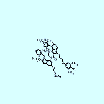 COCCOc1cc(N2C[C@@H](C)n3c(c(CCCOc4cc(C)c(Cl)c(C)c4)c4ccc(Cl)c(-c5c(C)nn(C)c5C)c43)C2=O)c2c(c1)cc(C(=O)O)n2Cc1ccccn1